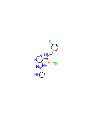 Cl.O=C(NCc1cccc(F)c1)c1ncnc2nc([C@H]3CCCN3)[nH]c12